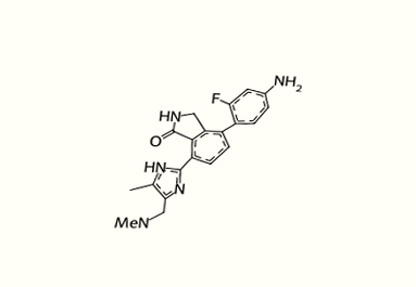 CNCc1nc(-c2ccc(-c3ccc(N)cc3F)c3c2C(=O)NC3)[nH]c1C